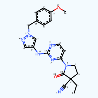 CCC1(C#N)CCN(c2ccnc(Nc3cnn(Cc4ccc(OC)cc4)c3)n2)C1=O